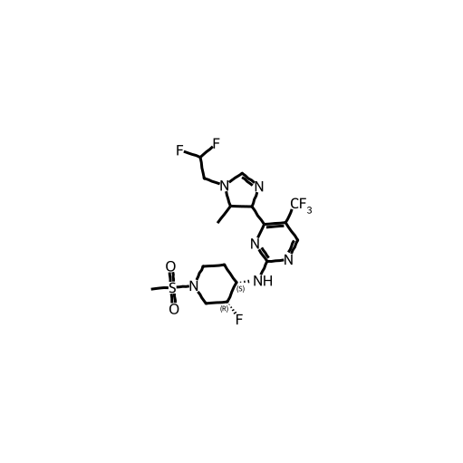 CC1C(c2nc(N[C@H]3CCN(S(C)(=O)=O)C[C@H]3F)ncc2C(F)(F)F)N=CN1CC(F)F